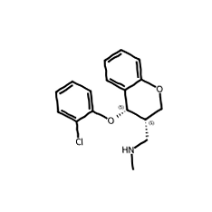 CNC[C@H]1COc2ccccc2[C@H]1Oc1ccccc1Cl